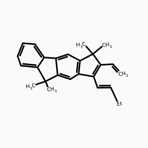 C=CC1=C(/C=C/CC)c2cc3c(cc2C1(C)C)-c1ccccc1C3(C)C